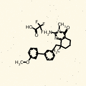 COc1cccc(-c2cccc(CC3(C)CCCc4c3nc(N)n(C)c4=O)c2)c1.O=C(O)C(F)(F)F